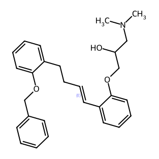 CN(C)CC(O)COc1ccccc1/C=C/CCc1ccccc1OCc1ccccc1